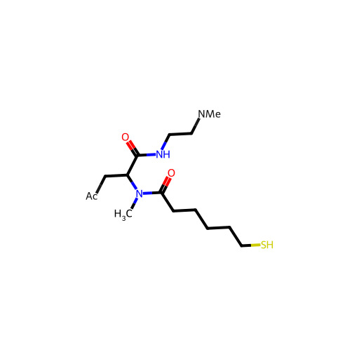 CNCCNC(=O)C(CC(C)=O)N(C)C(=O)CCCCCS